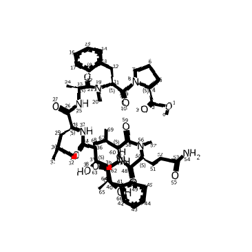 COC(=O)[C@@H]1CCCN1C(=O)[C@H](Cc1ccccc1)N(C)C(=O)[C@H](C)NC(=O)[C@H](CC(C)C)NC(=O)C[C@H](O)[C@H](Cc1ccccc1)NC(=O)[C@H](CCC(N)=O)N(C)C(=O)[C@@H](NC(=O)[C@H](C)O)C(C)C